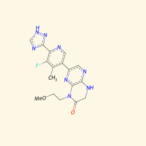 COCCN1C(=O)CNc2ncc(-c3cnc(-c4nc[nH]n4)c(F)c3C)nc21